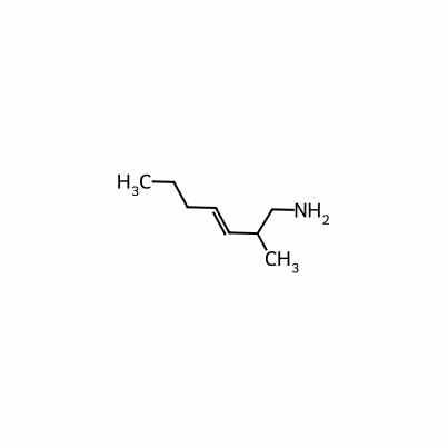 CCCC=CC(C)CN